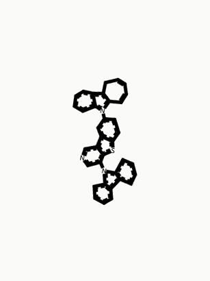 C1=CCc2c(n(-c3ccc4sc5c(-n6c7ccccc7c7ccccc76)cncc5c4c3)c3ccccc23)C=C1